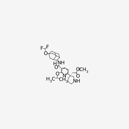 COC(=O)C[C@@]1(c2ccc(C(=O)N[C@H]3C4CC5CC3C[C@@](OC(F)F)(C5)C4)c(OC(C)C)n2)CCCNC1